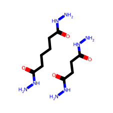 NNC(=O)CCC(=O)NN.NNC(=O)CCCCC(=O)NN